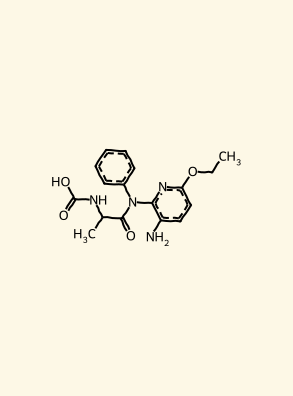 CCOc1ccc(N)c(N(C(=O)C(C)NC(=O)O)c2ccccc2)n1